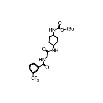 CC(C)(C)OC(=O)NC1CCC(NC(=O)CNC(=O)c2cccc(C(F)(F)F)c2)CC1